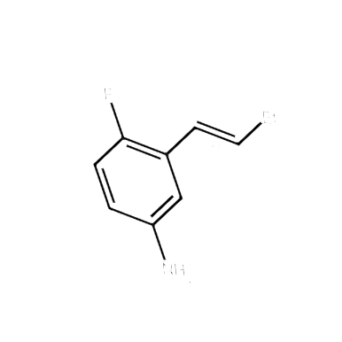 CC/C=C/c1cc(N)ccc1F